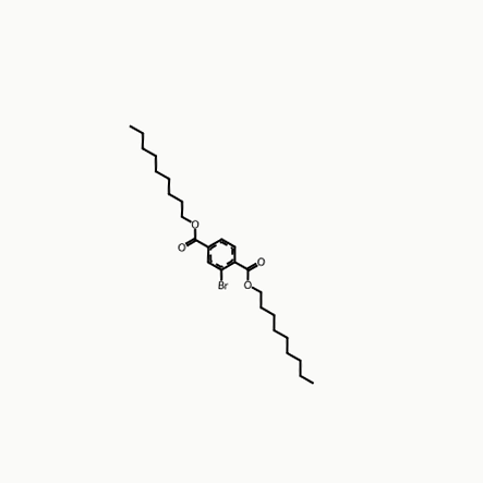 CCCCCCCCCOC(=O)c1ccc(C(=O)OCCCCCCCCC)c(Br)c1